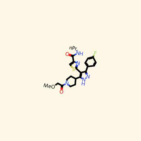 CCCNC(=O)c1csc(-c2c(-c3ccc(F)cc3)n[nH]c2C2CCN(C(=O)COC)CC2)n1